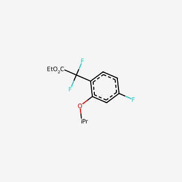 CCOC(=O)C(F)(F)c1ccc(F)cc1OC(C)C